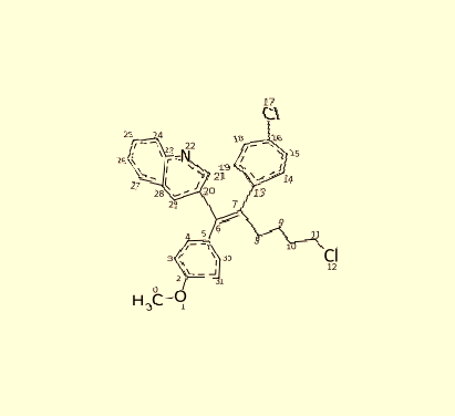 COc1ccc(/C(=C(\CCCCCl)c2ccc(Cl)cc2)c2cnc3ccccc3c2)cc1